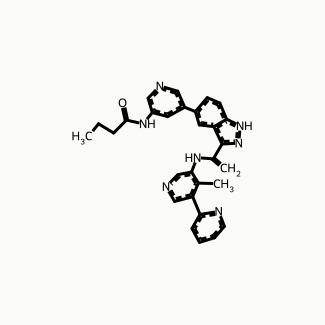 C=C(Nc1cncc(-c2ccccn2)c1C)c1n[nH]c2ccc(-c3cncc(NC(=O)CCC)c3)cc12